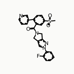 CS(=O)(=O)c1ccc(-c2cccnc2)c(C(=O)N2Cc3cn(-c4ccccc4F)nc3C2)c1